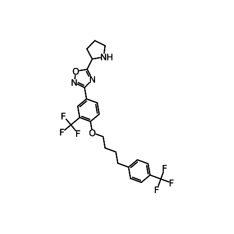 FC(F)(F)c1ccc(CCCCOc2ccc(-c3noc(C4CCCN4)n3)cc2C(F)(F)F)cc1